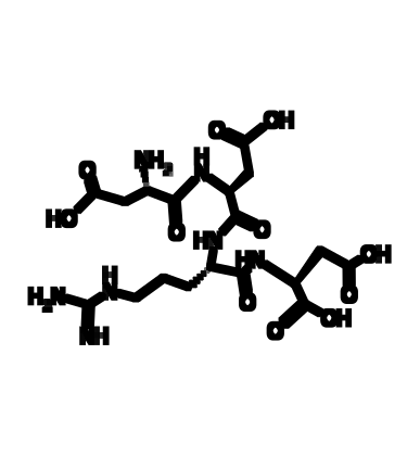 N=C(N)NCCC[C@H](NC(=O)[C@H](CC(=O)O)NC(=O)[C@@H](N)CC(=O)O)C(=O)N[C@@H](CC(=O)O)C(=O)O